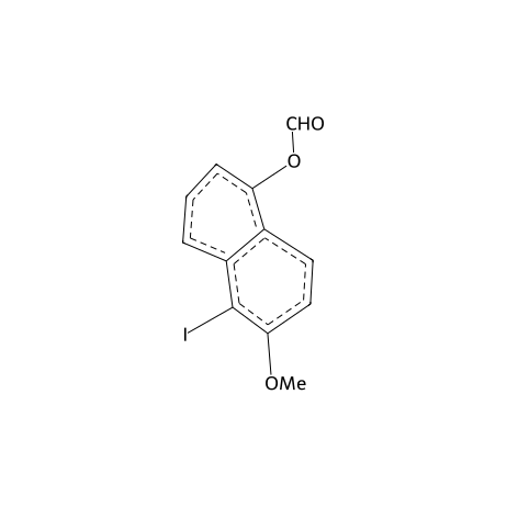 COc1ccc2c(OC=O)cccc2c1I